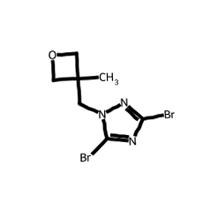 CC1(Cn2nc(Br)nc2Br)COC1